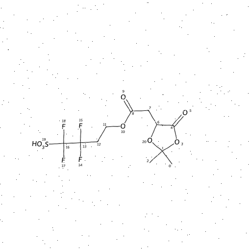 CC1(C)OC(=O)C(CC(=O)OCCC(F)(F)C(F)(F)S(=O)(=O)O)O1